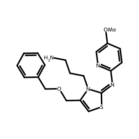 COc1ccc(N=c2scc(COCc3ccccc3)n2CCCN)nc1